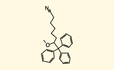 COC(CCCCCC#N)C(c1ccccc1)(c1ccccc1)c1ccccc1